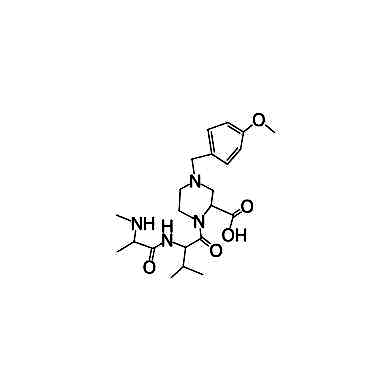 CNC(C)C(=O)NC(C(=O)N1CCN(Cc2ccc(OC)cc2)CC1C(=O)O)C(C)C